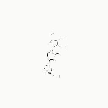 CCN(CC(=O)O)c1ccn([C@@H]2O[C@H](CO)[C@@H](O)[C@H]2O)c(=O)n1